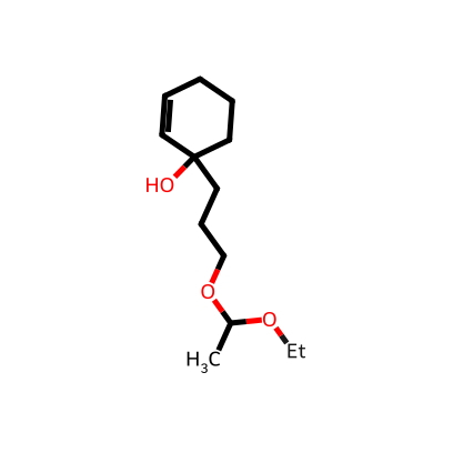 CCOC(C)OCCCC1(O)C=CCCC1